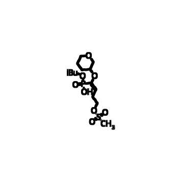 CCC(C)O[P@@](=O)(O)C(=CCCOS(C)(=O)=O)OC1CCCOC1